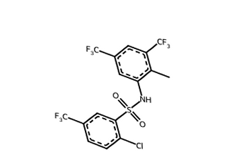 Cc1c(NS(=O)(=O)c2cc(C(F)(F)F)ccc2Cl)cc(C(F)(F)F)cc1C(F)(F)F